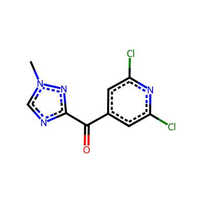 Cn1cnc(C(=O)c2cc(Cl)nc(Cl)c2)n1